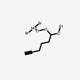 [Br][Mg][Br].[C]#CCCCC(OCC)OCC